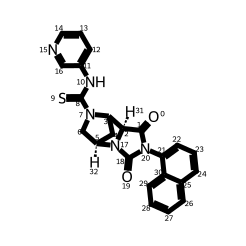 O=C1[C@@H]2C3C[C@H](CN3C(=S)Nc3cccnc3)N2C(=O)N1c1cccc2ccccc12